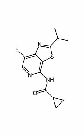 CC(C)c1nc2c(F)cnc(NC(=O)C3CC3)c2s1